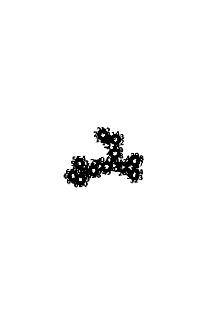 CC1(C)c2cc(N(c3ccc(-c4cccc5c4sc4ccccc45)cc3)c3ccc4c5ccccc5c5ccccc5c4c3)ccc2-c2ccc(N(c3ccccc3)c3cccc4ccccc34)cc21